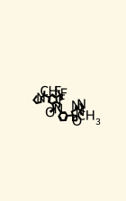 CC(c1cc2c(c(C(F)(F)F)c1)CN(c1cccc(C3(Cc4nncn4C)COC3)c1)C2=O)N1CCCC1